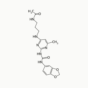 CC(=O)NCCCNc1cc(C)nc(NC(=O)Nc2ccc3c(c2)OCO3)n1